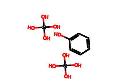 O[Si](O)(O)O.O[Si](O)(O)O.Oc1ccccc1